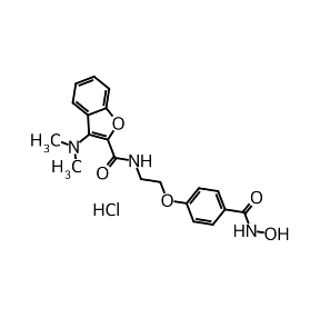 CN(C)c1c(C(=O)NCCOc2ccc(C(=O)NO)cc2)oc2ccccc12.Cl